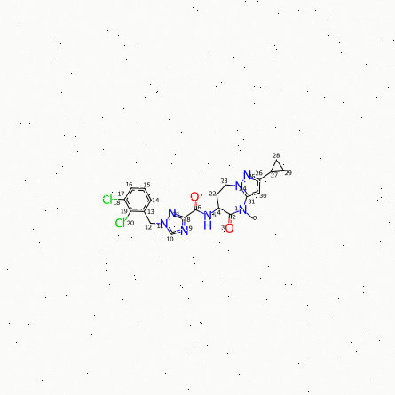 CN1C(=O)C(NC(=O)c2ncn(Cc3cccc(Cl)c3Cl)n2)CCn2nc(C3CC3)cc21